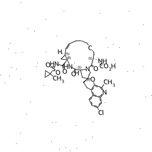 Cc1nc2cc(Cl)ccc2c2c1O[C@]1(CC2)C[C@H]2C(=O)N[C@]3(C(=O)NS(=O)(=O)C4(C)CC4)C[C@H]3C=CCCCCC[C@H](NC(=O)O)C(=O)N2C1